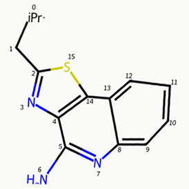 C[C](C)Cc1nc2c(N)nc3ccccc3c2s1